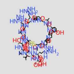 CC(=O)N[C@H]1CSSC[C@@H](C(=O)N[C@H](C(=O)N[C@@H](CC(C)C)C(=O)N[C@@H](CC(C)C)C(=O)N[C@@H](CC(C)C)C(=O)N[C@@H](CCCNC(=N)N)C(=O)N[C@@H](CO)C(=O)O)[C@@H](C)O)NC(=O)[C@H](CC(C)C)NC(=O)[C@H](CCCNC(=N)N)NC(=O)[C@H](CCCNC(=N)N)NC(=O)[C@@H]2CCCN2C(=O)[C@H](CC(C)C)NC(=O)[C@H](Cc2ccc(O)cc2)NC(=O)[C@@H]2CCCN2C(=O)[C@@H]2CCCN2C1=O